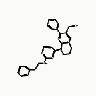 OCc1cc2c(nc1-c1ccccc1)N(c1ccnc(NCCc3ccccc3)n1)CCC2